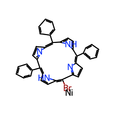 Brc1c2nc(c(-c3ccccc3)c3ccc([nH]3)c(-c3ccccc3)c3nc(c(-c4ccccc4)c4ccc1[nH]4)C=C3)C=C2.[Ni]